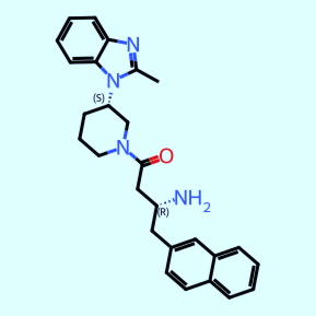 Cc1nc2ccccc2n1[C@H]1CCCN(C(=O)C[C@H](N)Cc2ccc3ccccc3c2)C1